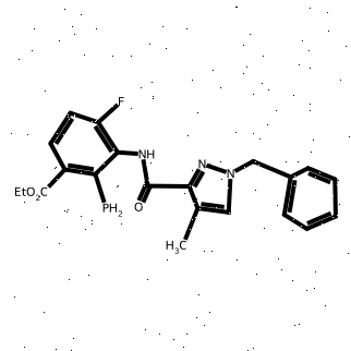 CCOC(=O)c1ccc(F)c(NC(=O)c2nn(Cc3ccccc3)cc2C)c1P